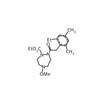 CCOC(=O)N1CCN(OC)CCN1C(=O)Cc1c(C)cc(C)cc1CC